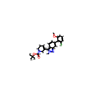 COc1cccc(F)c1-c1ccc2c(C3=CCCN(C(=O)OC(C)(C)C)C3)n(C)nc2c1